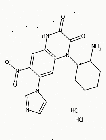 Cl.Cl.NC1CCCCC1n1c(=O)c(=O)[nH]c2cc([N+](=O)[O-])c(-n3ccnc3)cc21